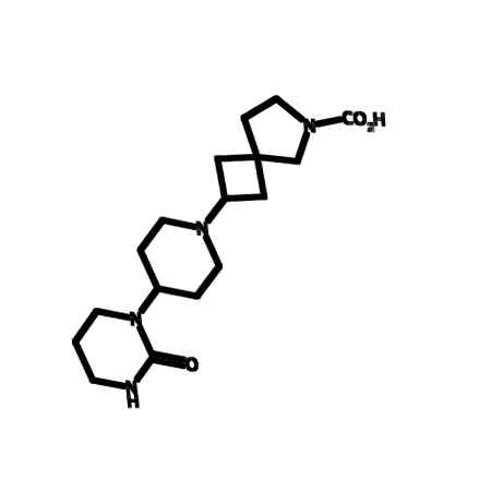 O=C(O)N1CCC2(CC(N3CCC(N4CCCNC4=O)CC3)C2)C1